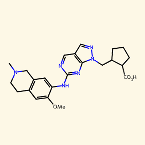 COc1cc2c(cc1Nc1ncc3cnn(CC4CCCC4C(=O)O)c3n1)CN(C)CC2